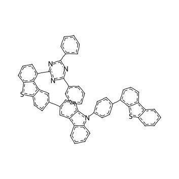 c1ccc(-c2nc(-c3ccccc3)nc(-c3cccc4sc5ccc(-c6ccc7c(c6)c6ccccc6n7-c6ccc(-c7cccc8c7sc7ccccc78)cc6)cc5c34)n2)cc1